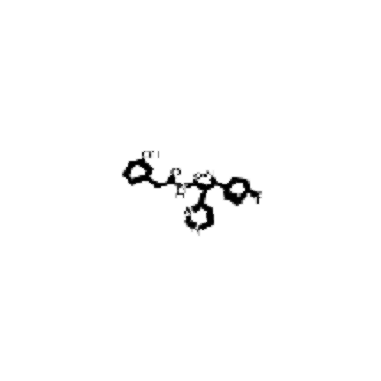 O=C(Cc1cccc(O)c1)Nc1onc(-c2ccc(F)cc2)c1-c1ccncn1